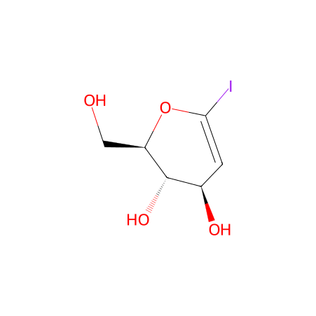 OC[C@H]1OC(I)=C[C@@H](O)[C@@H]1O